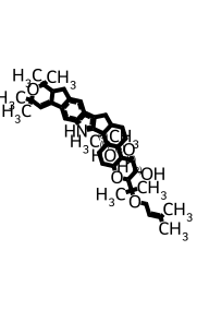 CC(C)=CCOC(C)(C)C1OC2CC[C@]3(C)[C@@]4(C)c5[nH]c6cc7c(cc6c5CC4CC[C@@]3(O)C23O[C@H]3[C@@H]1O)CC1C7=CC(C)(C)OC1(C)C